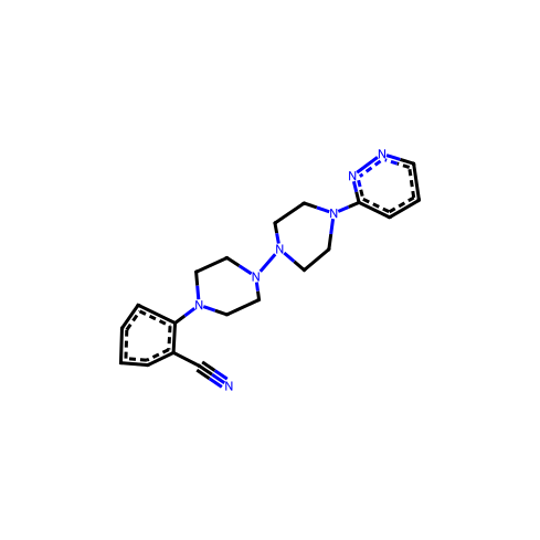 N#Cc1ccccc1N1CCN(N2CCN(c3cccnn3)CC2)CC1